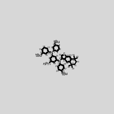 CCCc1cc(N(c2cccc(C(C)(C)C)c2)c2cccc(C(C)(C)C)c2)cc(N(c2ccc(C(C)(C)C)cc2)c2csc3cc4c(cc23)C(C)(C)CCC4(C)C)c1